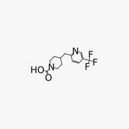 O=C(O)N1CCC(Cc2ccc(C(F)(F)F)cn2)CC1